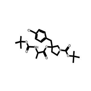 CC(NC(=O)OC(C)(C)C)C(=O)OC1(Cc2ccc(Cl)cc2)CCN(C(=O)OC(C)(C)C)C1